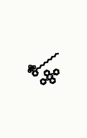 CCCCCCCCCCCCc1ccccc1S(=O)(=O)[O-].c1ccc(Sc2ccccc2[S+](c2ccccc2)c2ccccc2)cc1